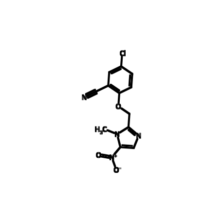 Cn1c([N+](=O)[O-])cnc1COc1ccc(Cl)cc1C#N